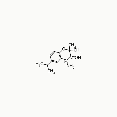 CC(C)c1ccc2c(c1)[C@@H](N)[C@H](O)C(C)(C)O2